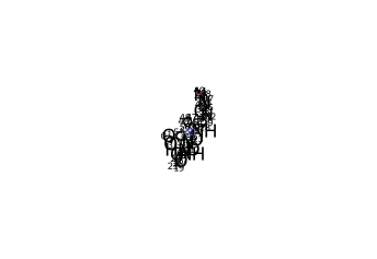 COC(=O)c1ccc2c(c1)N(C(=O)NNC(=O)OC(C)(C)C)C(=O)/C2=C(\Nc1ccc(N(C)C(=O)CN2CCN(C)CC2)cc1)c1ccccc1